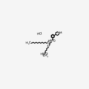 CCCCCCCCCCCCOC(CNC(=O)c1cccc(C2CCNCC2)c1)COCCCCC(=O)NC.Cl